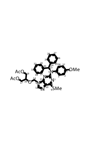 COc1ccc(N(c2nc(SC)c3ncn(COC(COC(C)=O)COC(C)=O)c3n2)C(c2ccccc2)c2ccccc2)cc1